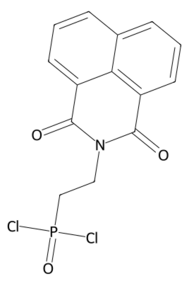 O=C1c2cccc3cccc(c23)C(=O)N1CCP(=O)(Cl)Cl